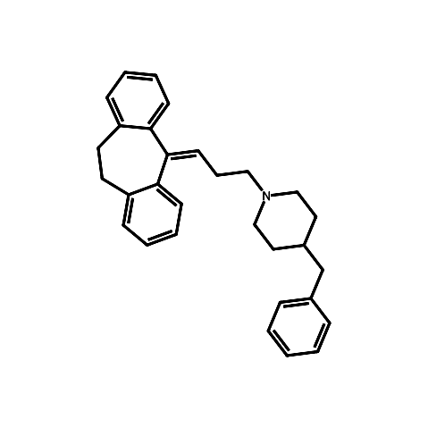 C(CCN1CCC(Cc2ccccc2)CC1)=C1c2ccccc2CCc2ccccc21